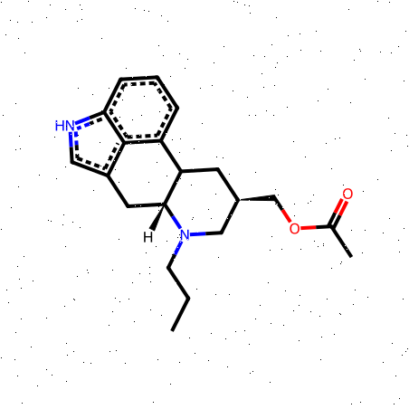 CCCN1C[C@H](COC(C)=O)CC2c3cccc4[nH]cc(c34)C[C@H]21